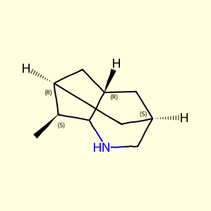 C[C@@H]1C2NC[C@@H]3C[C@H]2C[C@H]1C3